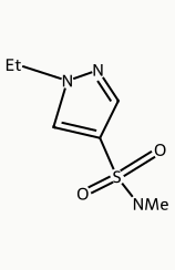 CCn1cc(S(=O)(=O)NC)cn1